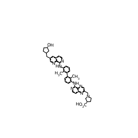 Cc1c(Nc2nccc3cc(CC4CC[C@@H](O)C4)cnc23)cccc1-c1cccc(Nc2nccc3nc(CN4CC[C@@H](C(=O)O)C4)cnc23)c1C